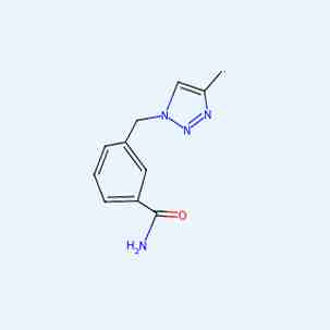 [CH2]c1cn(Cc2cccc(C(N)=O)c2)nn1